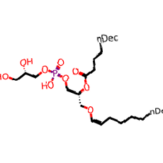 CCCCCCCCCCCCCC/C=C\OC[C@H](COP(=O)(O)OC[C@@H](O)CO)OC(=O)CCCCCCCCCCCCC